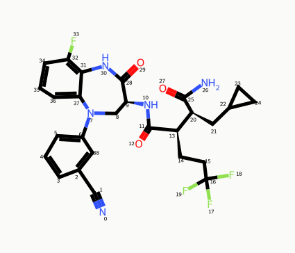 N#Cc1cccc(N2C[C@H](NC(=O)[C@H](CCC(F)(F)F)[C@H](CC3CC3)C(N)=O)C(=O)Nc3c(F)cccc32)c1